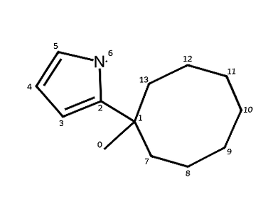 CC1(C2=CC=C[N]2)CCCCCCC1